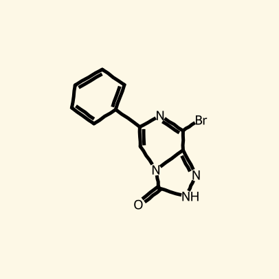 O=c1[nH]nc2c(Br)nc(-c3ccccc3)cn12